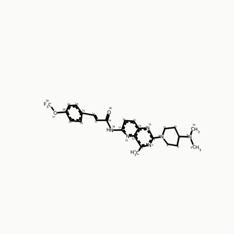 Cc1nc(N2CCC(N(C)C)CC2)nc2ccc(NC(=O)C=Cc3ccc(OC(F)(F)F)cc3)nc12